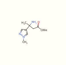 COC(=O)CC(C)(N)c1cnn(C)c1